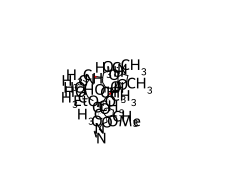 CC[C@H]1OC(=O)[C@H](C)[C@@H](O[C@H]2C[C@@](C)(OC)[C@@H](OC(=O)n3ccnc3)[C@H](C)O2)[C@H](C)[C@H]2O[C@@H]3O[C@H](C)CC(N(C)C)[C@H]3OC(=O)C[C@@H](CN(C)[C@H](C)[C@@H](O)[C@]1(C)O)C[C@@]2(C)O